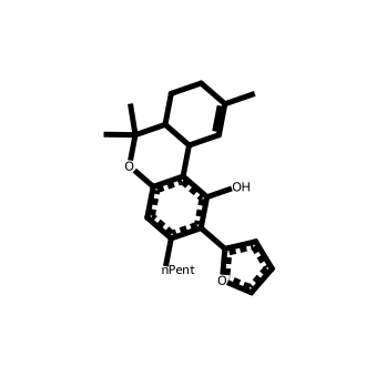 CCCCCc1cc2c(c(O)c1-c1ccco1)C1C=C(C)CCC1C(C)(C)O2